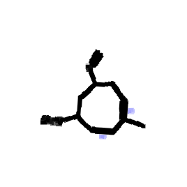 C=NC1C/C=C(C)\C=C/C(SC)C1